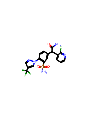 NC(=O)C(c1ccc(-n2cc(C(F)(F)F)cn2)c(S(N)(=O)=O)c1)c1cccnc1Cl